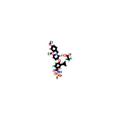 CCOc1ccc(CN2CCCC(Oc3cc(F)c(C(=O)NS(C)(=O)=O)cc3C3CC3)C2)c(OCC)c1.O=C(O)C(F)(F)F